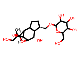 CC(CO)[C@H]1C2C(=O)OC1[C@@H](O)C1C2CC[C@H]1COC1OC(CO)C(O)C(O)C1O